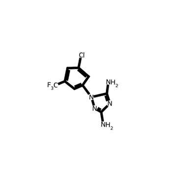 Nc1nc(N)n(-c2cc(Cl)cc(C(F)(F)F)c2)n1